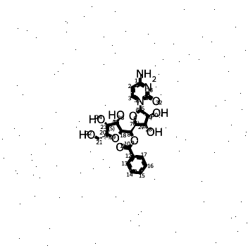 Nc1ccn([C@@H]2O[C@H](C(OC(=O)c3ccccc3)C3O[C@H](CO)[C@@H](O)[C@H]3O)[C@@H](O)[C@H]2O)c(=O)n1